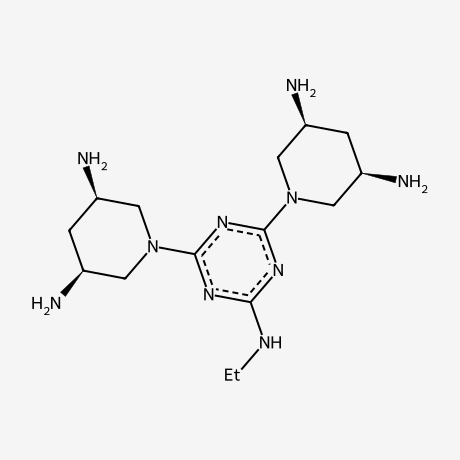 CCNc1nc(N2C[C@H](N)C[C@H](N)C2)nc(N2C[C@H](N)C[C@H](N)C2)n1